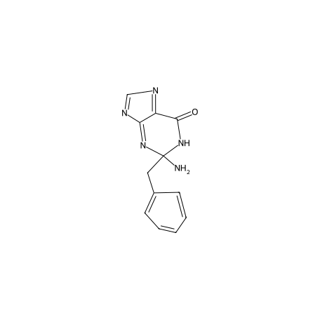 NC1(Cc2ccccc2)N=C2N=CN=C2C(=O)N1